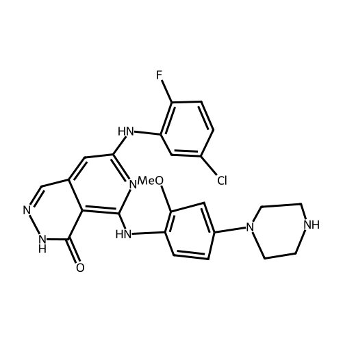 COc1cc(N2CCNCC2)ccc1Nc1nc(Nc2cc(Cl)ccc2F)cc2cn[nH]c(=O)c12